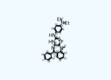 CCN(CC)c1ccc(NC(=S)NC2N=C(c3ccccc3)c3ccccc3N(C)C2=O)cc1